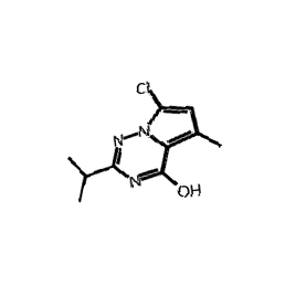 Cc1cc(Cl)n2nc(C(C)C)nc(O)c12